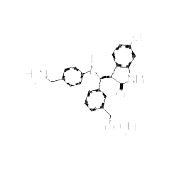 NCc1ccc(NC(=C2C(=O)Nc3cc(Cl)ccc32)c2cccc(CC(=O)O)c2)cc1